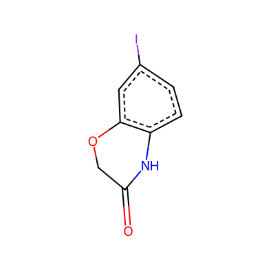 O=C1COc2cc(I)ccc2N1